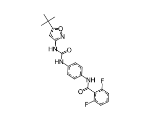 CC(C)(C)c1cc(NC(=O)Nc2ccc(NC(=O)c3c(F)cccc3F)cc2)no1